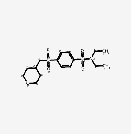 CCN(CC)S(=O)(=O)c1ccc(S(=O)(=O)CC2CCOCC2)cc1